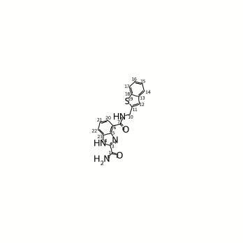 NC(=O)c1nc2c(C(=O)NCc3cc4ccccc4s3)cccc2[nH]1